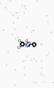 O=c1nc(-c2ccccc2)cnn1-c1cc(Cl)cc(Cl)c1